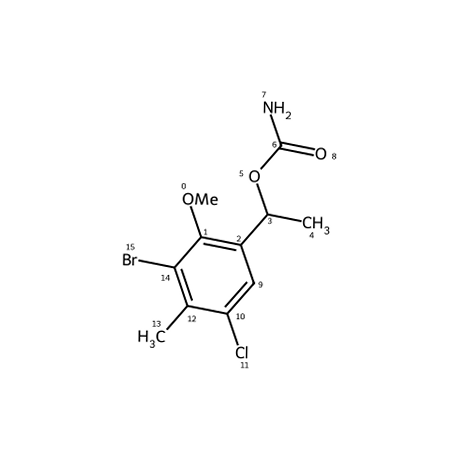 COc1c(C(C)OC(N)=O)cc(Cl)c(C)c1Br